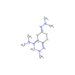 CN(C)N=C1CCC(=NN(C)C)C(=NN(C)C)C1